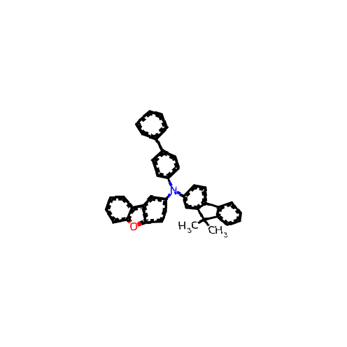 CC1(C)c2ccccc2-c2ccc(N(c3ccc(-c4ccccc4)cc3)c3ccc4oc5ccccc5c4c3)cc21